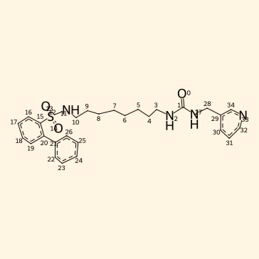 O=C(NCCCCCCCCNS(=O)(=O)c1ccccc1-c1ccccc1)NCc1cccnc1